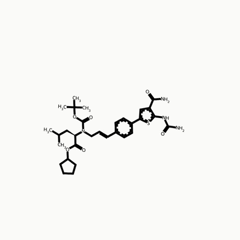 CC(C)C[C@H](C(=O)OC1CCCC1)N(C/C=C/c1ccc(-c2cc(C(N)=O)c(NC(N)=O)s2)cc1)C(=O)OC(C)(C)C